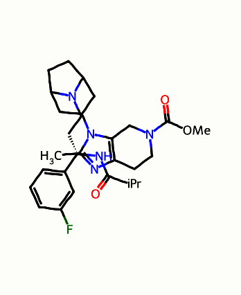 COC(=O)N1CCc2nc(C)n(C3CC4CCC(C3)N4CC[C@H](NC(=O)C(C)C)c3cccc(F)c3)c2C1